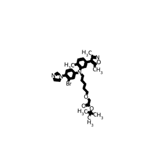 Cc1ccc(-c2c(C)noc2C)cc1N(CCCCCOCC(=O)OC(C)(C)C)c1ccc(-n2ccnc2)c(Br)c1